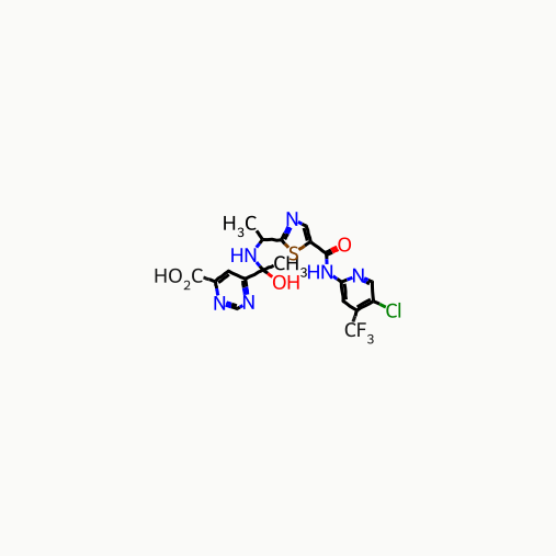 CC(NC(C)(O)c1cc(C(=O)O)ncn1)c1ncc(C(=O)Nc2cc(C(F)(F)F)c(Cl)cn2)s1